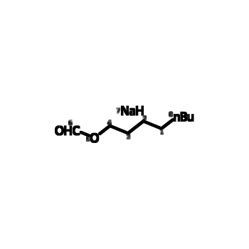 CCCCCCCCOC=O.[NaH]